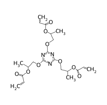 C=CC(=O)OC(C)COc1nc(OCC(C)OC(=O)C=C)nc(OCC(C)OC(=O)C=C)n1